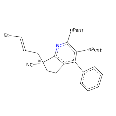 CCC=CC[C@]1(C#N)CCc2c1nc(CCCCC)c(CCCCC)c2-c1ccccc1